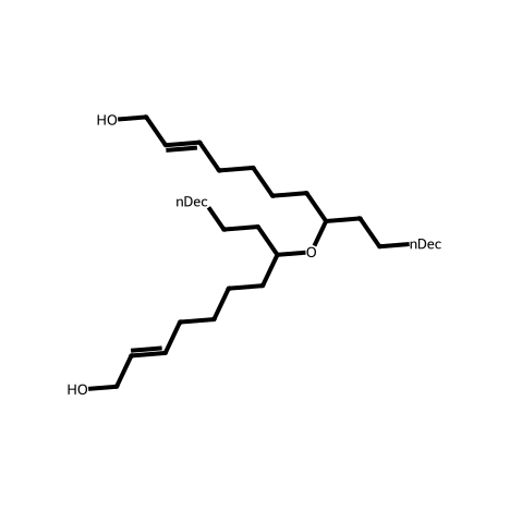 CCCCCCCCCCCCC(CCCCC=CCO)OC(CCCCC=CCO)CCCCCCCCCCCC